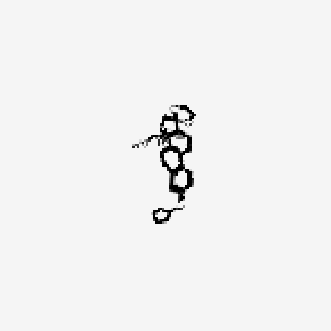 OCCC[C@]12CCC3=C(CCc4cc(OC5CCCC5)ccc43)[C@@H]1CCC21OCCO1